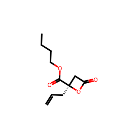 C=CC[C@]1(C(=O)OCCCC)CC(=O)O1